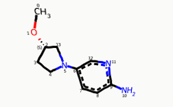 CO[C@H]1CCN(c2ccc(N)nc2)C1